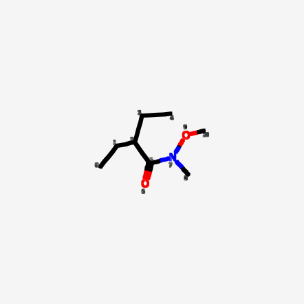 CCC(CC)C(=O)N(C)OC